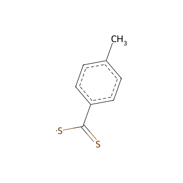 Cc1ccc(C([S])=S)cc1